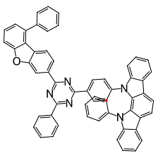 c1ccc(-c2nc(-c3ccc(-n4c5ccccc5c5ccc6c7ccccc7n(-c7ccccc7)c6c54)cc3)nc(-c3ccc4c(c3)oc3cccc(-c5ccccc5)c34)n2)cc1